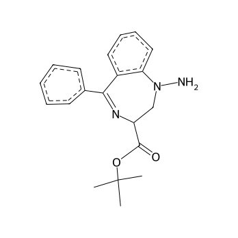 CC(C)(C)OC(=O)C1CN(N)c2ccccc2C(c2ccccc2)=N1